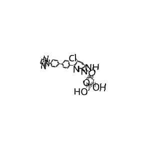 OC[C@H]1OC[C@H](Oc2nc3nc(-c4ccc(-c5ccc(-n6nccn6)cc5)cc4)c(Cl)cc3[nH]2)C[C@@H]1O